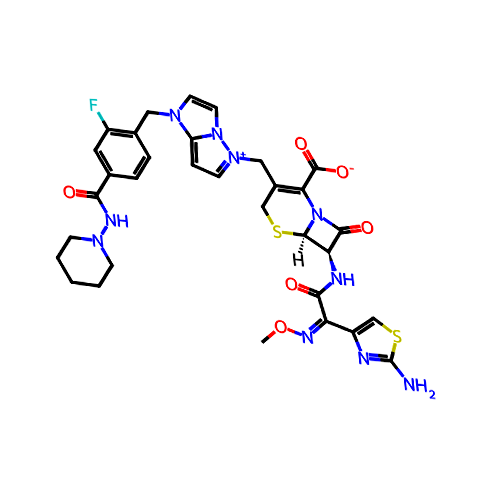 CO/N=C(\C(=O)N[C@@H]1C(=O)N2C(C(=O)[O-])=C(C[n+]3ccc4n(Cc5ccc(C(=O)NN6CCCCC6)cc5F)ccn43)CS[C@H]12)c1csc(N)n1